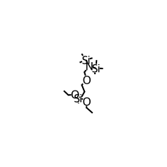 CCO[Si](C)(CCOCN([Si](C)(C)C)[Si](C)(C)C)OCC